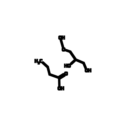 CCCC(=O)O.OCC(O)COO